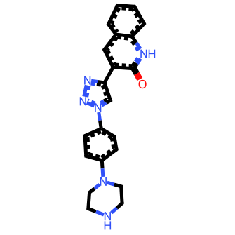 O=c1[nH]c2ccccc2cc1-c1cn(-c2ccc(N3CCNCC3)cc2)nn1